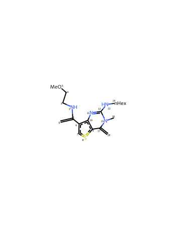 C=C(NCCOC)c1csc2c1N=C(NCCCCCC)N(C)C2=C